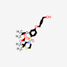 CC(C)(C)OC(=O)[C@@H]1N(S(=O)(=O)c2ccc(OCC#CCO)cc2)CCSC1(C)C